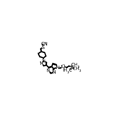 C[Si](C)(C)CCOCn1ccc2c(-c3cnn(C4CCC(CSC#N)CC4)c3)ncnc21